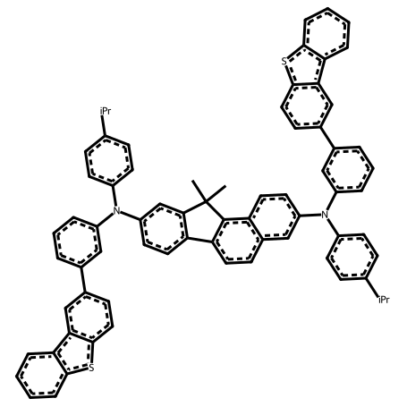 CC(C)c1ccc(N(c2cccc(-c3ccc4sc5ccccc5c4c3)c2)c2ccc3c(c2)C(C)(C)c2c-3ccc3cc(N(c4ccc(C(C)C)cc4)c4cccc(-c5ccc6sc7ccccc7c6c5)c4)ccc23)cc1